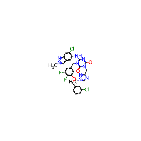 Cn1cnc(Cn2c(=O)nc(Nc3cc4cn(C)nc4cc3Cl)n(Cc3cc(F)c(F)c(OCc4cccc(Cl)c4)c3)c2=O)n1